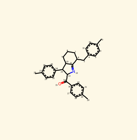 Cc1ccc(CC2CCCC3C2=NC(C(=O)c2ccc(C)cc2)C3c2ccc(C)cc2)cc1